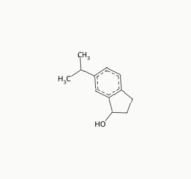 CC(C)c1ccc2c(c1)C(O)CC2